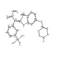 CN1CCN(Cc2ccc3c(c2)S/C(=C(/C(N)=O)c2nccc(C(F)(F)F)n2)N3)CC1